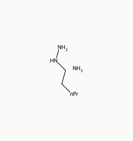 CCCCCNN.N